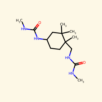 CNC(=O)NCC1(C)CCC(NC(=O)NC)CC1(C)C